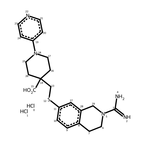 Cl.Cl.N=C(N)N1CCc2ccc(SCC3(C(=O)O)CCN(c4ccncc4)CC3)cc2C1